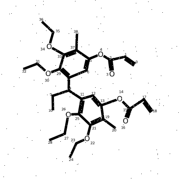 C=CC(=O)Oc1cc(C(CC)c2cc(OC(=O)C=C)c(C)c(OCC)c2OCC)c(OCC)c(OCC)c1C